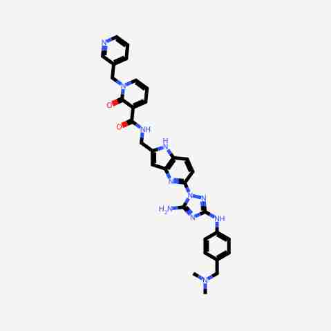 CN(C)Cc1ccc(Nc2nc(N)n(-c3ccc4[nH]c(CNC(=O)c5cccn(Cc6cccnc6)c5=O)cc4n3)n2)cc1